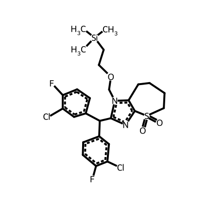 C[Si](C)(C)CCOCn1c(C(c2ccc(F)c(Cl)c2)c2ccc(F)c(Cl)c2)nc2c1CCCCS2(=O)=O